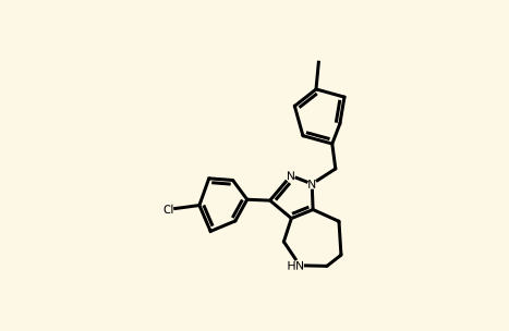 Cc1ccc(Cn2nc(-c3ccc(Cl)cc3)c3c2CCCNC3)cc1